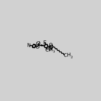 CCCCCCCCCCCC1COC(c2cc(F)c(C#CC(=O)Oc3ccc(C#N)cc3)cc2C)OC1